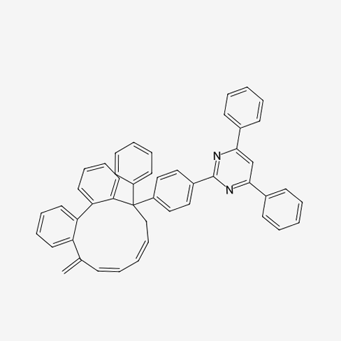 C=C1/C=C\C=C/CC(c2ccccc2)(c2ccc(-c3nc(-c4ccccc4)cc(-c4ccccc4)n3)cc2)c2ccccc2-c2ccccc21